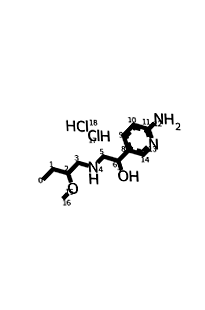 CCC(CNCC(O)c1ccc(N)nc1)OC.Cl.Cl